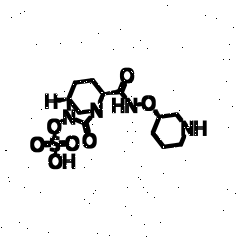 O=C(NO[C@@H]1CCCNC1)[C@@H]1CC[C@@H]2CN1C(=O)N2OS(=O)(=O)O